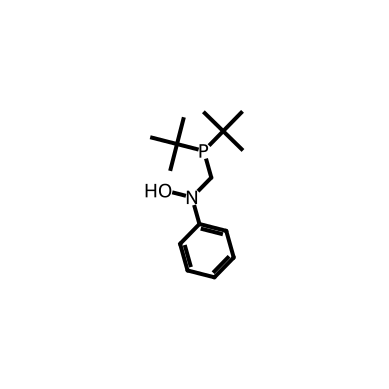 CC(C)(C)P(CN(O)c1ccccc1)C(C)(C)C